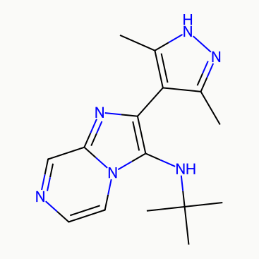 Cc1n[nH]c(C)c1-c1nc2cnccn2c1NC(C)(C)C